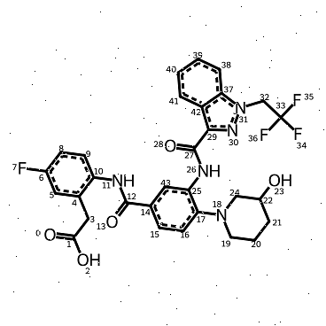 O=C(O)Cc1cc(F)ccc1NC(=O)c1ccc(N2CCCC(O)C2)c(NC(=O)c2nn(CC(F)(F)F)c3ccccc23)c1